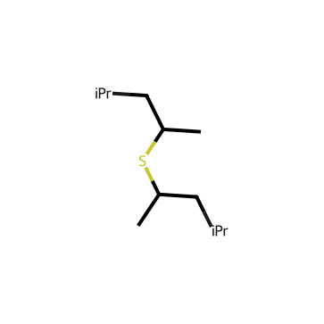 CC(C)CC(C)SC(C)CC(C)C